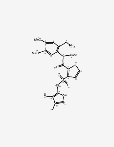 COc1cc(CN)c(C(OC)C(=O)c2sccc2S(=O)(=O)Nc2onc(C)c2Cl)cc1OC